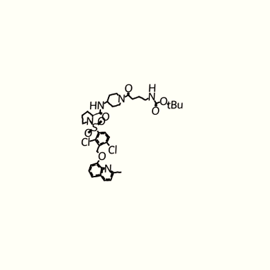 Cc1ccc2cccc(OCc3c(Cl)ccc(S(=O)(=O)N4CCC[C@H]4C(=O)NC4CCN(C(=O)CCCNC(=O)OC(C)(C)C)CC4)c3Cl)c2n1